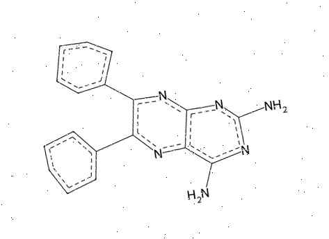 Nc1nc(N)c2nc(-c3ccccc3)c(-c3ccccc3)nc2n1